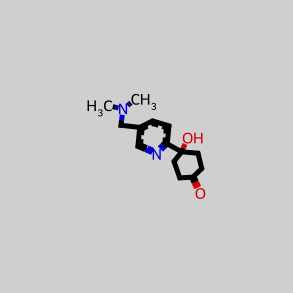 CN(C)Cc1ccc(C2(O)CCC(=O)CC2)nc1